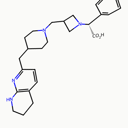 O=C(O)[C@@H](c1ccccc1)N1CC(CN2CCC(Cc3ccc4c(n3)NCCC4)CC2)C1